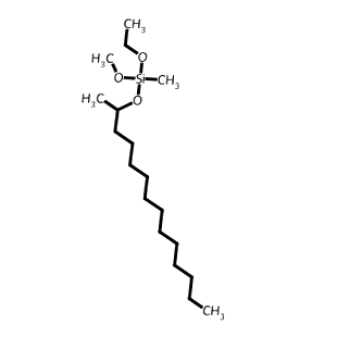 CCCCCCCCCCCCC(C)O[Si](C)(OC)OCC